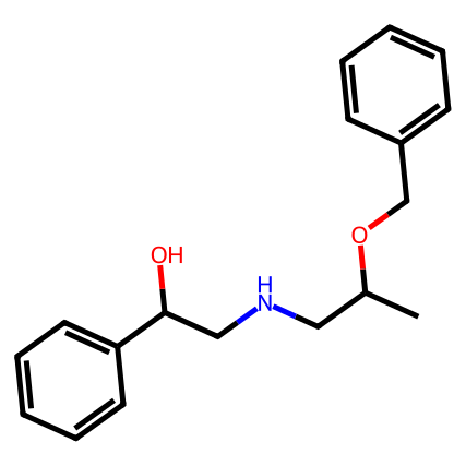 CC(CNCC(O)c1ccccc1)OCc1ccccc1